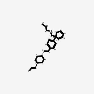 CC=C[C@H]1CC[C@H](CCc2ccc(C3(COCCC)C=CC=CC3)cc2)CC1